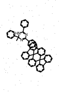 CC1(c2ccccc2)N=C(c2ccc(-c3cccc4c3C3(c5ccccc5-c5ccccc53)c3ccccc3C43c4ccccc4-c4ccccc43)cc2)N=C(c2ccccc2)N1